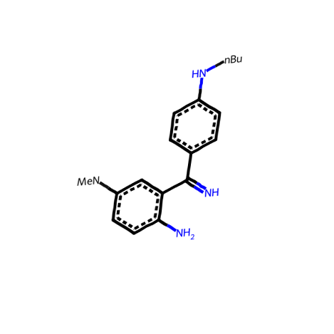 CCCCNc1ccc(C(=N)c2cc(NC)ccc2N)cc1